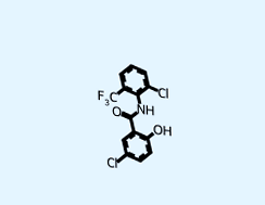 O=C(Nc1c(Cl)cccc1C(F)(F)F)c1cc(Cl)ccc1O